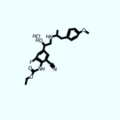 CCOC(=O)Nc1c(F)cc(C(O)CNC(C)Cc2ccc(OC)cc2)cc1C#N.Cl